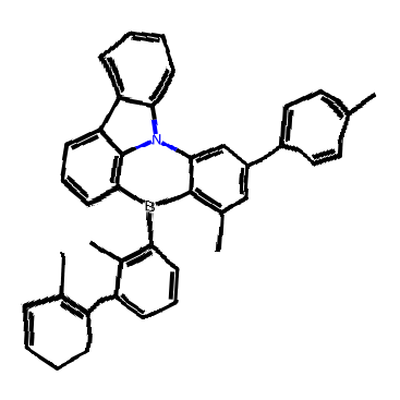 CC1=C(c2cccc(B3c4c(C)cc(-c5ccc(C)cc5)cc4-n4c5ccccc5c5cccc3c54)c2C)CCC=C1